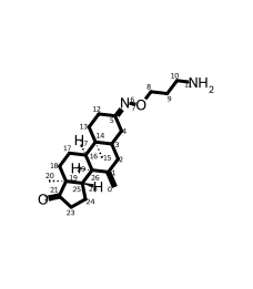 C=C1CC2CC(=NOCCCN)CC[C@]2(C)[C@@H]2CC[C@]3(C)C(=O)CC[C@H]3[C@H]12